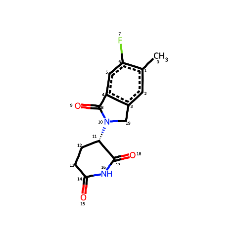 Cc1cc2c(cc1F)C(=O)N([C@H]1CCC(=O)NC1=O)C2